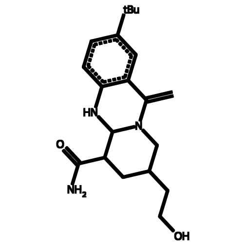 C=C1c2cc(C(C)(C)C)ccc2NC2C(C(N)=O)CC(CCO)CN12